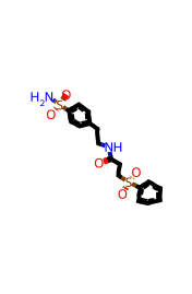 NS(=O)(=O)c1ccc(CCNC(=O)CCS(=O)(=O)c2ccccc2)cc1